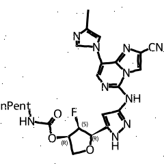 CCCCCNC(=O)O[C@@H]1CO[C@H](c2cc(Nc3ncc(-n4cnc(C)c4)c4nc(C#N)cn34)n[nH]2)[C@@H]1F